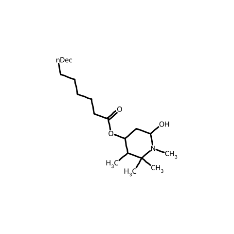 CCCCCCCCCCCCCCCC(=O)OC1CC(O)N(C)C(C)(C)C1C